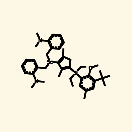 CC[Si](CC)(C1=C(C)[C]([Sc]([CH2]c2ccccc2N(C)C)[CH2]c2ccccc2N(C)C)=C(C)C1)c1cc(C)cc(C(C)(C)C)c1OC